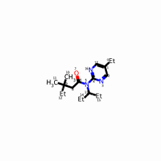 CCc1cnc(N(C(=O)CC(C)(C)CC)C(CC)CC)nc1